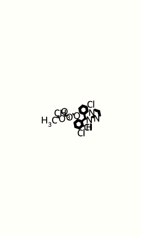 CC(C)OC(=O)OCOc1ccc(Cl)cc1C(Nc1ncccn1)c1cccc(Cl)c1Cl